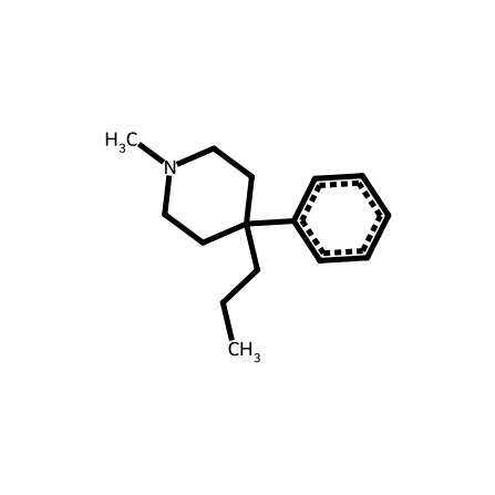 CCCC1(c2ccccc2)CCN(C)CC1